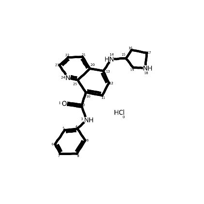 Cl.O=C(Nc1ccccc1)c1ccc(NC2CCNC2)c2cccnc12